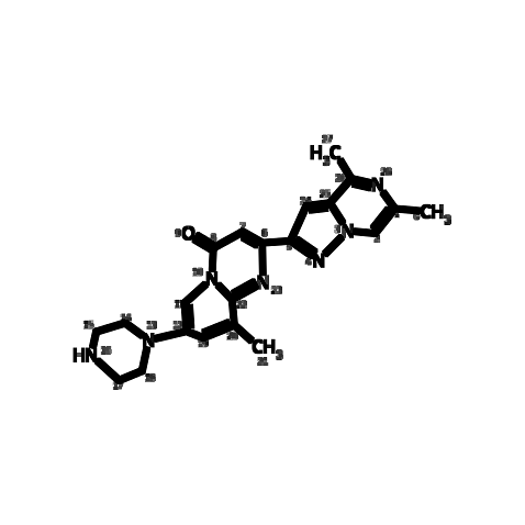 Cc1cn2nc(-c3cc(=O)n4cc(N5CCNCC5)cc(C)c4n3)cc2c(C)n1